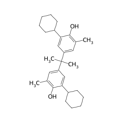 Cc1cc(C(C)(C)c2cc(C)c(O)c(C3CCCCC3)c2)cc(C2CCCCC2)c1O